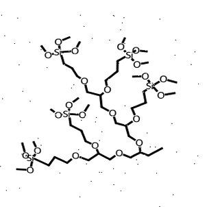 CCC(COCC(COCCC[Si](OC)(OC)OC)OCCC[Si](OC)(OC)OC)OCC(COCC(COCCC[Si](OC)(OC)OC)OCCC[Si](OC)(OC)OC)OCCC[Si](OC)(OC)OC